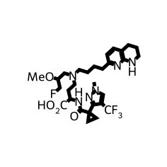 COC(CF)CN(CCCCc1ccc2c(n1)NCCC2)CCC(NC(=O)C1(c2nn(C)cc2C(F)(F)F)CC1)C(=O)O